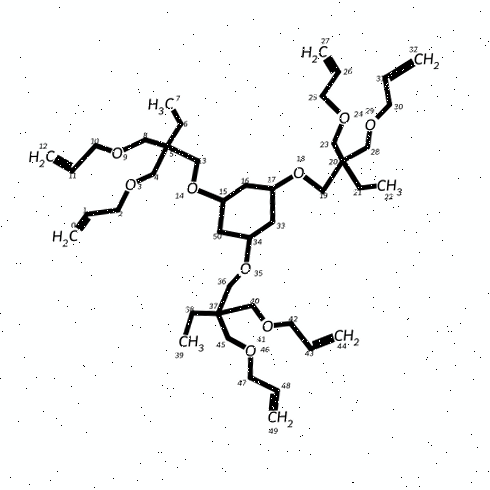 C=CCOCC(CC)(COCC=C)COC1CC(OCC(CC)(COCC=C)COCC=C)CC(OCC(CC)(COCC=C)COCC=C)C1